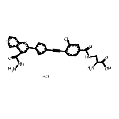 Cl.NNC(=O)c1cc(-c2ccc(C#Cc3ccc(C(=O)NCC(N)C(=O)O)cc3Cl)cc2)nc2ccncc12